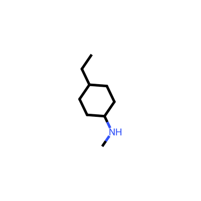 CCC1CCC(NC)CC1